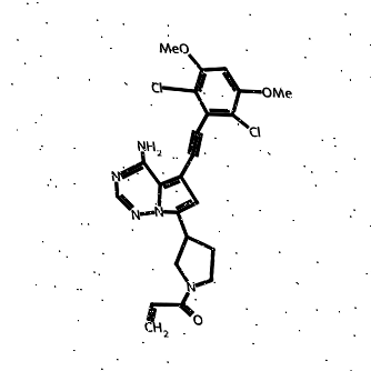 C=CC(=O)N1CCC(c2cc(C#Cc3c(Cl)c(OC)cc(OC)c3Cl)c3c(N)ncnn23)C1